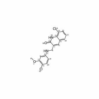 COc1cc(NCc2cc3cccc(Cl)c3[nH]c2=O)ccc1Cl